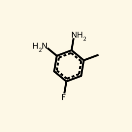 Cc1cc(F)cc(N)c1N